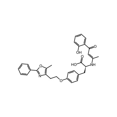 C/C(=C\C(=O)c1ccccc1O)N[C@@H](Cc1ccc(OCCc2nc(-c3ccccc3)oc2C)cc1)C(=O)O